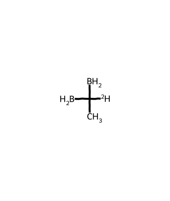 [2H]C(B)(B)C